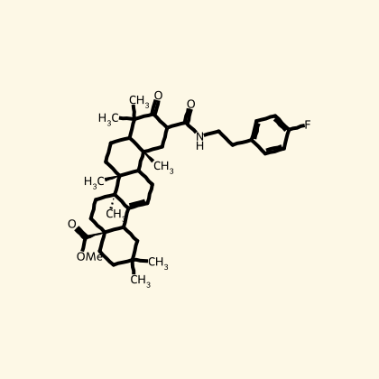 COC(=O)[C@]12CCC(C)(C)CC1C1=CCC3[C@@]4(C)CC(C(=O)NCCc5ccc(F)cc5)C(=O)C(C)(C)C4CC[C@@]3(C)[C@]1(C)CC2